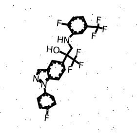 OC(CNc1cc(C(F)(F)F)ccc1F)(c1ccc2c(cnn2-c2ccc(F)cc2)c1)C(F)(F)F